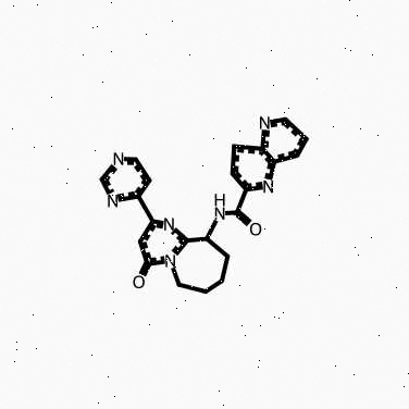 O=C(NC1CCCCn2c1nc(-c1ccncn1)cc2=O)c1ccc2ncccc2n1